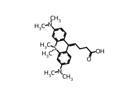 CN(C)c1ccc2c(c1)S(C)(C)c1cc(N(C)C)ccc1C2=CCCC(=O)O